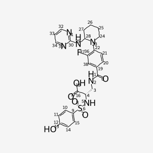 O=C(NC[C@H](NS(=O)(=O)c1ccc(O)cc1)C(=O)O)c1ccc(N2CCCCC2Nc2ncccn2)c(F)c1